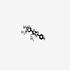 CO/C=C(\CN(C)C)c1sc2nc(-c3ccc(F)cc3)nn2c1C